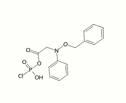 O=C(CN(OCc1ccccc1)c1ccccc1)OP(=O)(O)Cl